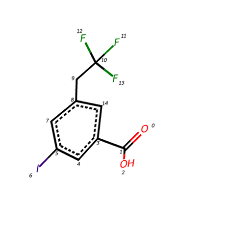 O=C(O)c1cc(I)cc(CC(F)(F)F)c1